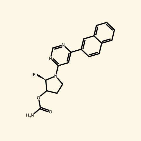 CC(C)(C)[C@@H]1C(OC(N)=O)CCN1c1cc(-c2ccc3ccccc3c2)ncn1